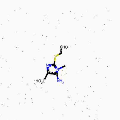 Cn1c(SC[C]=O)nc(C(=O)O)c1N